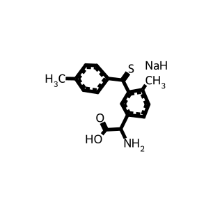 Cc1ccc(C(=S)c2cc(C(N)C(=O)O)ccc2C)cc1.[NaH]